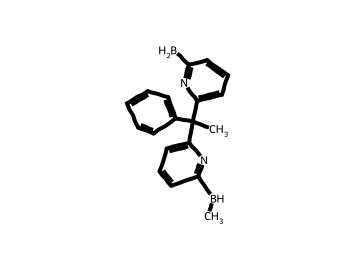 Bc1cccc(C(C)(c2ccccc2)c2cccc(BC)n2)n1